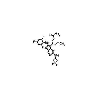 CCC[C@@H](CCC(N)=O)n1c(Nc2c(F)cc(F)cc2F)nc2cnc(NC3CC(F)(F)C3)nc21